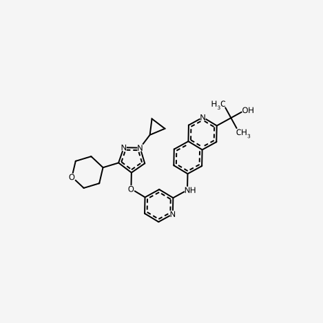 CC(C)(O)c1cc2cc(Nc3cc(Oc4cn(C5CC5)nc4C4CCOCC4)ccn3)ccc2cn1